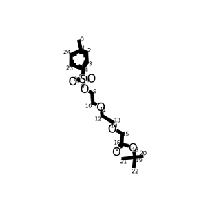 Cc1ccc(S(=O)(=O)OCCOCCOCC(=O)OC(C)(C)C)cc1